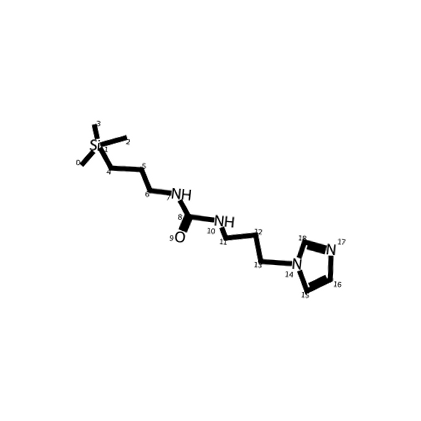 C[Si](C)(C)CCCNC(=O)NCCCn1ccnc1